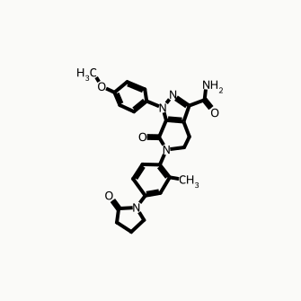 COc1ccc(-n2nc(C(N)=O)c3c2C(=O)N(c2ccc(N4CCCC4=O)cc2C)CC3)cc1